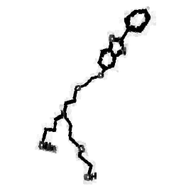 COCCCN(CCOCCO)CCOCCOc1ccc2oc(-c3ccccc3)nc2c1